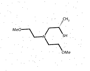 COCCN(CCOC)C[C@H](C)S